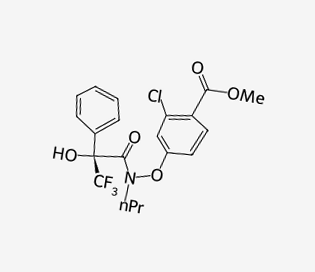 CCCN(Oc1ccc(C(=O)OC)c(Cl)c1)C(=O)[C@](O)(c1ccccc1)C(F)(F)F